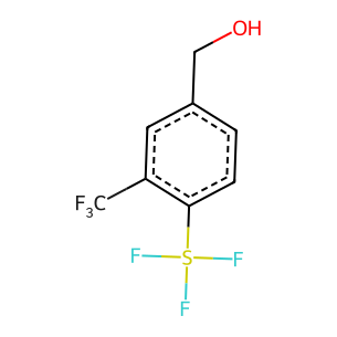 OCc1ccc(S(F)(F)F)c(C(F)(F)F)c1